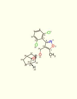 Cc1onc(-c2c(Cl)cccc2Cl)c1CO[C@H]1CC2CC[C@@H](C1)C2=O